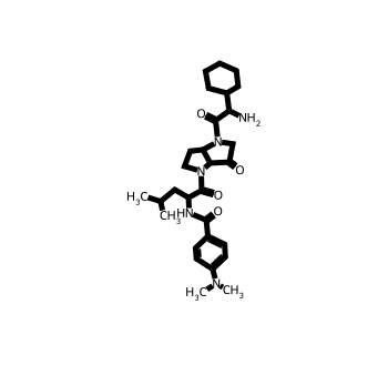 CC(C)CC(NC(=O)c1ccc(N(C)C)cc1)C(=O)N1CCC2C1C(=O)CN2C(=O)C(N)C1CCCCC1